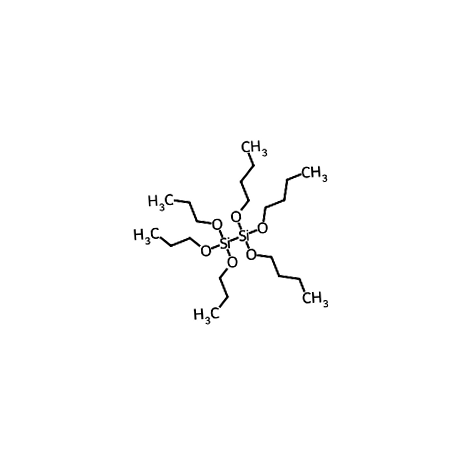 CCCCO[Si](OCCCC)(OCCCC)[Si](OCCC)(OCCC)OCCC